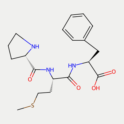 CSCC[C@H](NC(=O)[C@@H]1CCCN1)C(=O)N[C@@H](Cc1ccccc1)C(=O)O